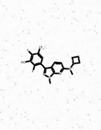 CN(c1ccc2c(-c3cc(C(F)(F)F)c(F)c(O)c3F)nn(C)c2n1)C1CCC1